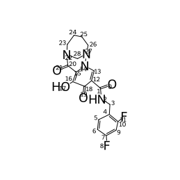 O=C(NCc1ccc(F)cc1F)c1cn2c(c(O)c1=O)C(=O)N1CCCCN2C1